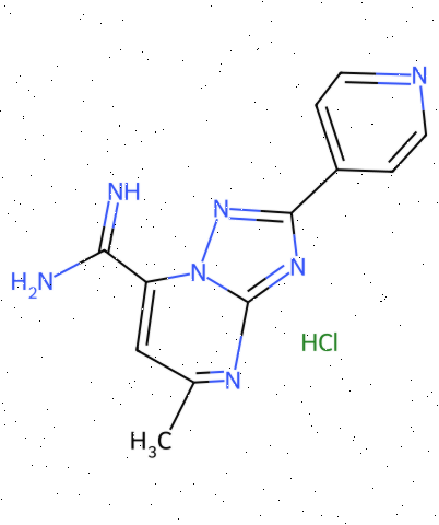 Cc1cc(C(=N)N)n2nc(-c3ccncc3)nc2n1.Cl